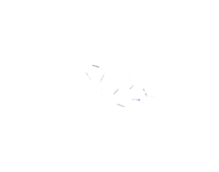 Cc1cc(Cl)c2cc(Oc3ccccc3)ccc2n1